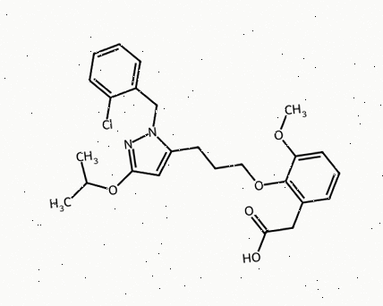 COc1cccc(CC(=O)O)c1OCCCc1cc(OC(C)C)nn1Cc1ccccc1Cl